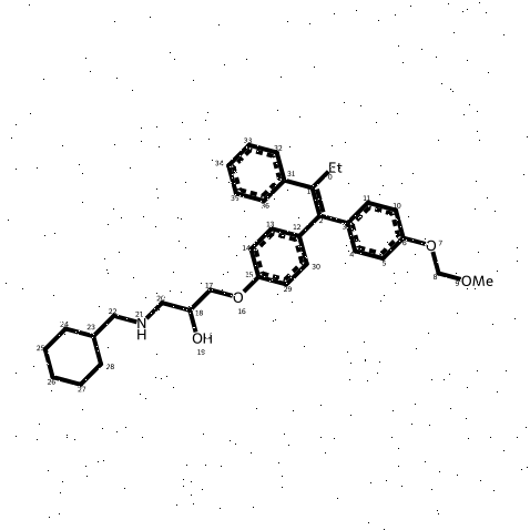 CC/C(=C(\c1ccc(OCOC)cc1)c1ccc(OCC(O)CNCC2CCCCC2)cc1)c1ccccc1